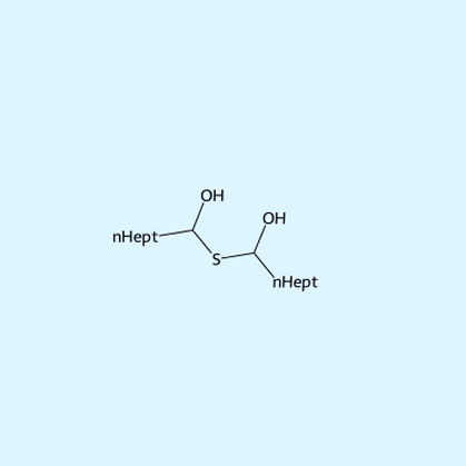 CCCCCCCC(O)SC(O)CCCCCCC